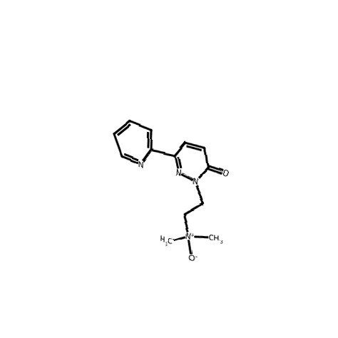 C[N+](C)([O-])CCn1nc(-c2ccccn2)ccc1=O